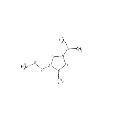 CC1CN(C(C)C)CC1CCN